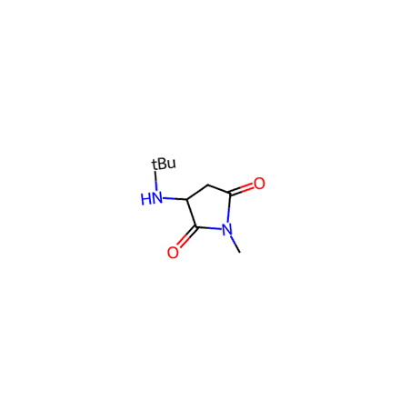 CN1C(=O)CC(NC(C)(C)C)C1=O